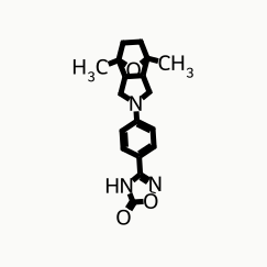 CC12CCC(C)(O1)C1CN(c3ccc(-c4noc(=O)[nH]4)cc3)CC12